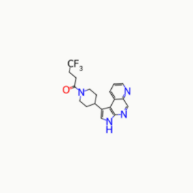 O=C(CCC(F)(F)F)N1CCC(c2c[nH]c3ncc4ncccc4c23)CC1